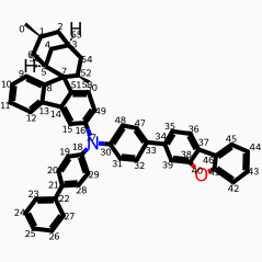 C[C@H]1C[C@@H]2C[C@H](C1)C1(c3ccccc3-c3cc(N(c4ccc(-c5ccccc5)cc4)c4ccc(-c5ccc6c(c5)oc5ccccc56)cc4)ccc31)[C@H](C)C2